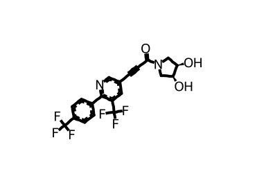 O=C(C#Cc1cnc(-c2ccc(C(F)(F)F)cc2)c(C(F)(F)F)c1)N1C[C@@H](O)[C@@H](O)C1